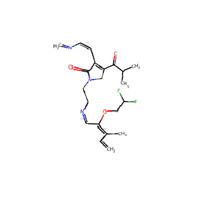 C=C/C(C)=C(\C=N/CCN1CC(C(=O)C(C)C)=C(/C=C\N=C)C1=O)OCC(F)F